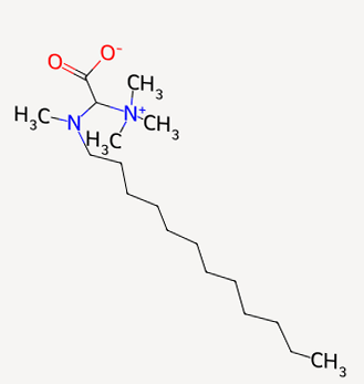 CCCCCCCCCCCCN(C)C(C(=O)[O-])[N+](C)(C)C